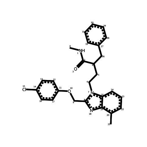 CNC(=O)C(CCn1c(COc2ccc(Cl)cc2)nc2c(C)cccc21)Cc1ccccc1